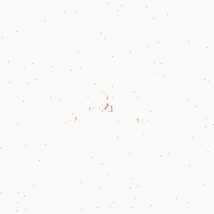 CC(C)(C)OC(=O)C(CCCCCCCCCCCCCC(=O)OCc1ccccc1)(CCCCCCCCCCCCCC(=O)OCc1ccccc1)C(=O)OCc1ccccc1